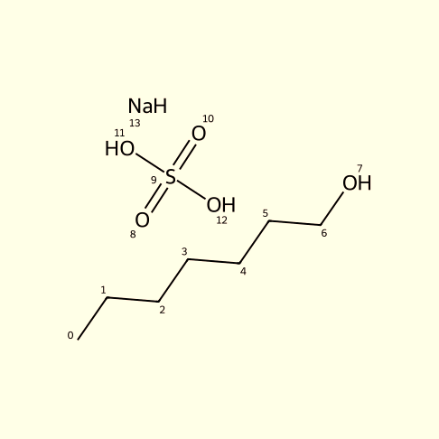 CCCCCCCO.O=S(=O)(O)O.[NaH]